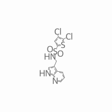 O=S(=O)(NCc1c[nH]c2ncccc12)c1cc(Cl)c(Cl)s1